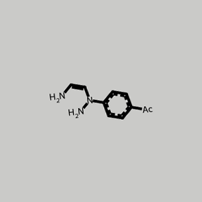 CC(=O)c1ccc(N(N)/C=C\N)cc1